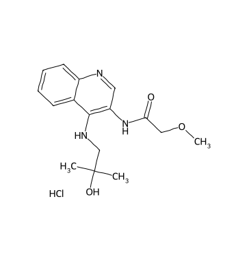 COCC(=O)Nc1cnc2ccccc2c1NCC(C)(C)O.Cl